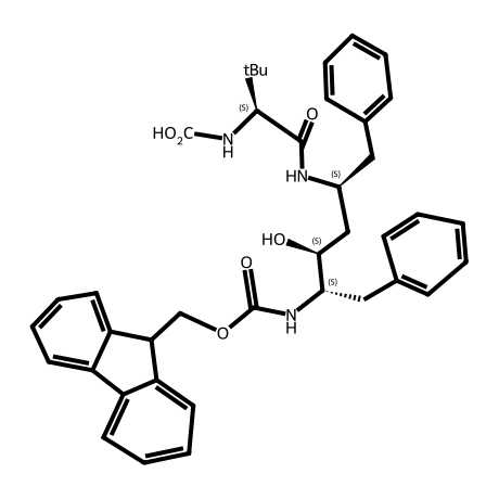 CC(C)(C)[C@H](NC(=O)O)C(=O)N[C@@H](Cc1ccccc1)C[C@H](O)[C@H](Cc1ccccc1)NC(=O)OCC1c2ccccc2-c2ccccc21